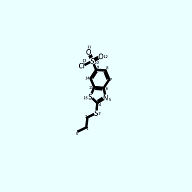 CCCSc1nc2ccc(S(=O)(=O)Cl)cc2s1